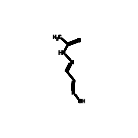 CC(=O)NN=CC=NO